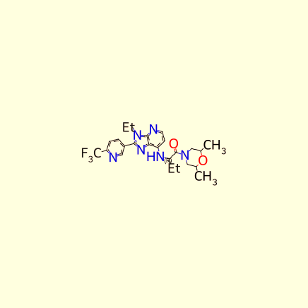 CC[C@@H](Nc1ccnc2c1nc(-c1ccc(C(F)(F)F)nc1)n2CC)C(=O)N1CC(C)OC(C)C1